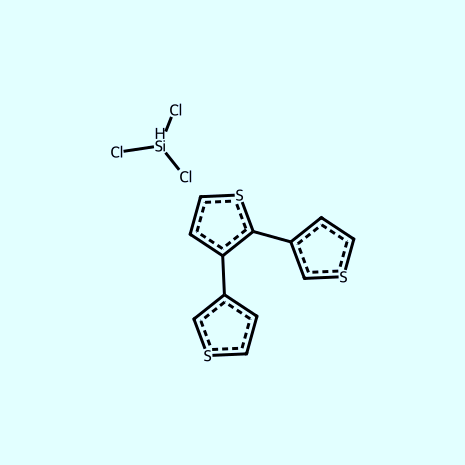 Cl[SiH](Cl)Cl.c1cc(-c2ccsc2-c2ccsc2)cs1